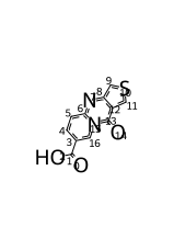 O=C(O)c1ccc2nc3cscc3c(=O)n2c1